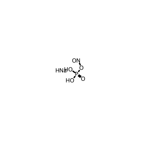 O=NOP(=O)(O)O.[NaH]